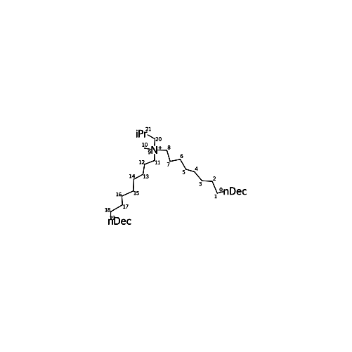 CCCCCCCCCCCCCCCCCC[N+](C)(CCCCCCCCCCCCCCCCCC)CC(C)C